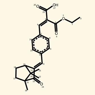 CCOC(=O)C(=Cc1ccc(C=C2C(=O)C3(C)CCC2C3(C)C)cc1)C(=O)O